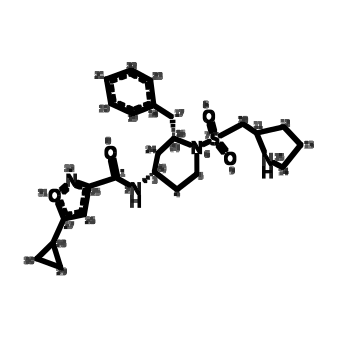 O=C(N[C@H]1CCN(S(=O)(=O)CC2CCCN2)[C@@H](Cc2ccccc2)C1)c1cc(C2CC2)on1